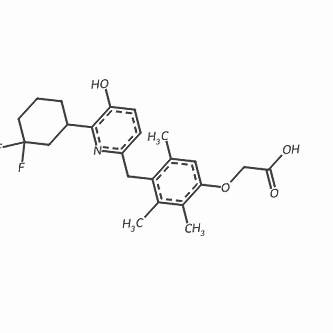 Cc1cc(OCC(=O)O)c(C)c(C)c1Cc1ccc(O)c(C2CCCC(F)(F)C2)n1